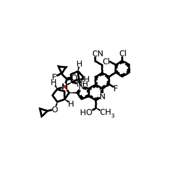 C[C@@H](O)c1nc2c(F)c(-c3cccc(Cl)c3Cl)c(CCC#N)cc2c2c1cc([C@H]1[C@H]3C[C@H](C[C@@H]3OC3CC3)N1C(=O)C1(F)CC1)n2[C@H]1[C@H]2CN[C@@H]1C2